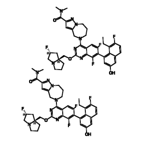 CCc1c(F)ccc2cc(O)cc(-c3c(F)cc4c(N5CCCn6nc(C(=O)N(C)C)cc6C5)nc(OC[C@@]56CCCN5C[C@H](F)C6)nc4c3F)c12.CCc1c(F)ccc2cc(O)cc(-c3c(F)cc4c(N5CCCn6nc(C(=O)N(C)C)cc6C5)nc(OC[C@@]56CCCN5C[C@H](F)C6)nc4c3F)c12